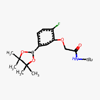 CC(C)(C)NC(=O)COc1cc(B2OC(C)(C)C(C)(C)O2)ccc1F